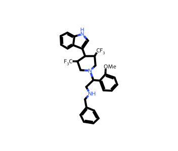 COc1ccccc1C(CNCc1ccccc1)N1CC(C(F)(F)F)C(c2c[nH]c3ccccc23)C(C(F)(F)F)C1